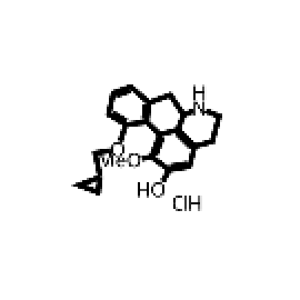 COc1c(O)cc2c3c1-c1c(cccc1OCC1CC1)CC3NCC2.Cl